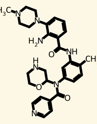 Cc1ccc(N(C(=O)c2ccncc2)C2CNCCO2)cc1NC(=O)c1cccc(N2CCN(C)CC2)c1N